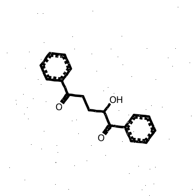 O=C(CCC(O)C(=O)c1ccccc1)c1ccccc1